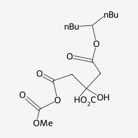 CCCCC(CCCC)OC(=O)CC(O)(CC(=O)OC(=O)OC)C(=O)O